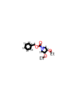 CCO[C@H]1CN(C(=O)OCc2ccccc2)C[C@H]1OCC